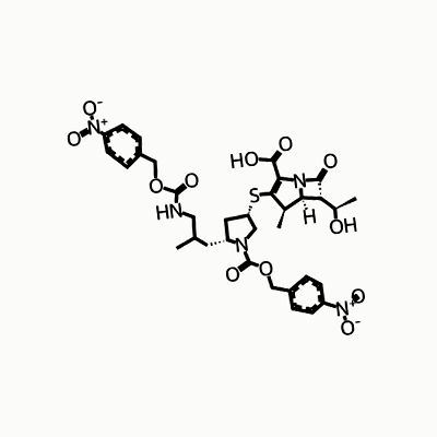 CC(CNC(=O)OCc1ccc([N+](=O)[O-])cc1)C[C@@H]1C[C@H](SC2=C(C(=O)O)N3C(=O)[C@H]([C@@H](C)O)[C@H]3[C@H]2C)CN1C(=O)OCc1ccc([N+](=O)[O-])cc1